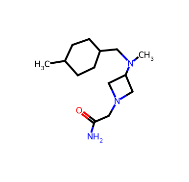 CC1CCC(CN(C)C2CN(CC(N)=O)C2)CC1